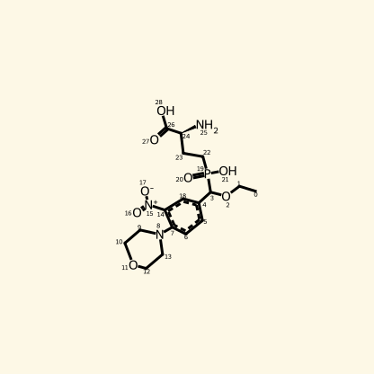 CCOC(c1ccc(N2CCOCC2)c([N+](=O)[O-])c1)P(=O)(O)CC[C@H](N)C(=O)O